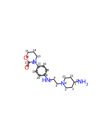 NC1CCN(CCNc2ccc(N3CCCOC3=O)cc2)CC1